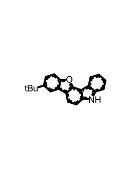 CC(C)(C)c1ccc2oc3c(ccc4[nH]c5ccccc5c43)c2c1